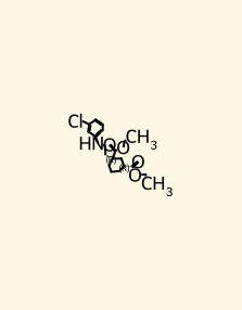 CCOC(=O)[C@@H]1CCC[C@@](CCNc2cccc(Cl)c2)(C(=O)OCC)C1